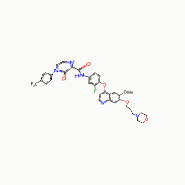 COc1cc2c(Oc3ccc(NC(=O)c4nccn(-c5ccc(C(F)(F)F)cc5)c4=O)cc3F)ccnc2cc1OCCCN1CCOCC1